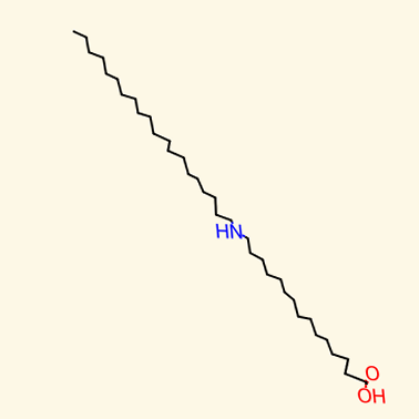 CCCCCCCCCCCCCCCCCCCCNCCCCCCCCCCCCCCC(=O)O